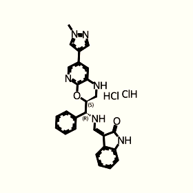 Cl.Cl.Cn1cc(-c2cnc3c(c2)NC[C@@H]([C@H](NC=C2C(=O)Nc4ccccc42)c2ccccc2)O3)cn1